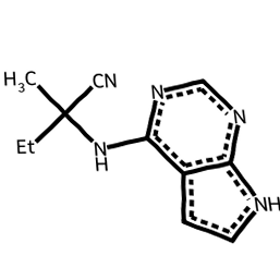 CCC(C)(C#N)Nc1ncnc2[nH]ccc12